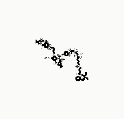 C=C/C1=C(\C=C)CN(C(=O)CCC(=O)NCCCCC(=O)N[C@H](C(=O)N[C@@H](C)C(=O)Nc2ccc(COC(=O)N3c4cc(OCCCCCOc5cc6c(cc5OC)C(=O)N5CC7(CC7)C[C@H]5CN6)c(OC)cc4C(=O)N4CC5(CC5)C[C@H]4[C@@H]3O)cc2)C(C)C)c2ccccc2C#C1